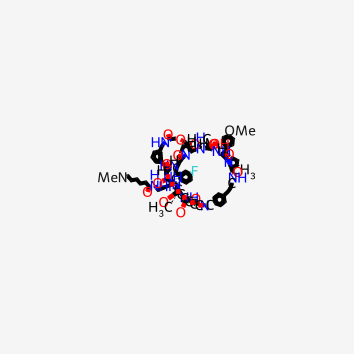 CNCCCCCC(=O)NCC1NC(=O)[C@H](C)NC(=O)CCC(=O)N2CCCCCCn3cc(c4cc(F)ccc43)C[C@@H]3NC(=O)[C@H](Cc4cccc(c4)CNC(=O)COC[C@H]4CCN(C3=O)[C@H]4C(=O)N[C@@H]([C@@H](C)O)C(=O)N[C@@H](Cc3ccc(OC)cc3)C(=O)N3CCC[C@@]3(C)C(=O)NCCc3ccc(cc3)C2)NC1=O